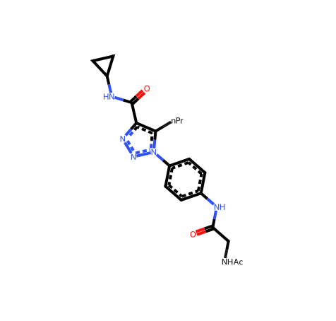 CCCc1c(C(=O)NC2CC2)nnn1-c1ccc(NC(=O)CNC(C)=O)cc1